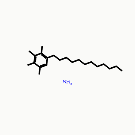 CCCCCCCCCCCCc1cc(C)c(C)c(C)c1C.N